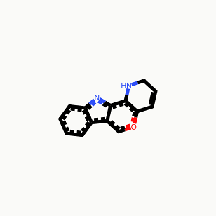 C1=Cc2occ3c4ccccc4nc-3c2NC1